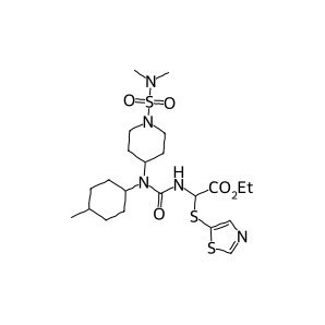 CCOC(=O)C(NC(=O)N(C1CCC(C)CC1)C1CCN(S(=O)(=O)N(C)C)CC1)Sc1cncs1